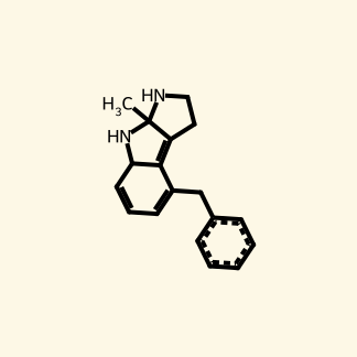 CC12NCCC1=C1C(Cc3ccccc3)=CC=CC1N2